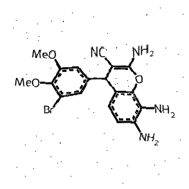 COc1cc(C2C(C#N)=C(N)Oc3c2ccc(N)c3N)cc(Br)c1OC